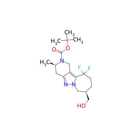 C[C@@H]1Cc2nn3c(c2CN1C(=O)OC(C)(C)C)C(F)(F)CC[C@@H](CO)C3